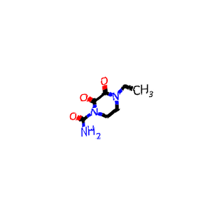 CCN1CCN(C(N)=O)C(=O)C1=O